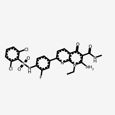 CCn1c(N)c(C(=O)NC)c(=O)c2ccc(-c3ccc(NS(=O)(=O)c4c(Cl)cccc4Cl)c(F)c3)nc21